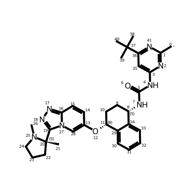 [CH2]c1nc(NC(=O)N[C@H]2CC[C@@H](Oc3ccc4nnc([C@]5(C)CCCN5C)n4c3)c3ccccc32)cc(C(C)(C)C)n1